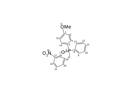 COc1ccc(P(C)(=O)c2ccccc2)cc1.O=[N+]([O-])c1ccccc1